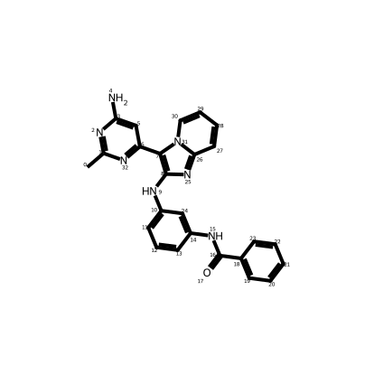 Cc1nc(N)cc(-c2c(Nc3cccc(NC(=O)c4ccccc4)c3)nc3ccccn23)n1